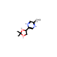 CC1(C)OCC(c2cnc(C=O)cn2)O1